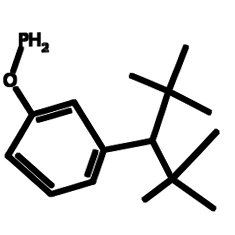 CC(C)(C)C(c1cccc(OP)c1)C(C)(C)C